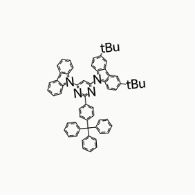 CC(C)(C)c1ccc2c(c1)c1cc(C(C)(C)C)ccc1n2-c1cc(-n2c3ccccc3c3ccccc32)nc(-c2ccc(C(c3ccccc3)(c3ccccc3)c3ccccc3)cc2)n1